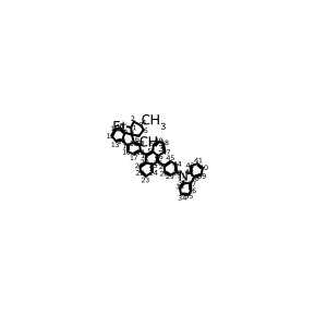 CCC1CC(C)CC(C)C12c1ccccc1-c1ccc(-c3c4ccccc4c(-c4ccc(-n5c6ccccc6c6ccccc65)cc4)c4ccccc34)cc12